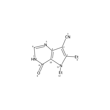 CCc1c(C#N)c2nc[nH]c(=O)c2n1CC